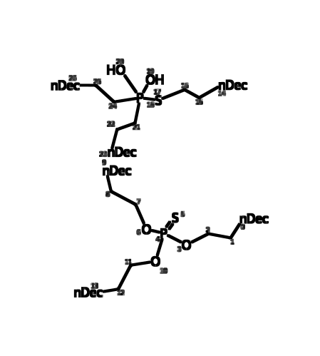 CCCCCCCCCCCCOP(=S)(OCCCCCCCCCCCC)OCCCCCCCCCCCC.CCCCCCCCCCCCSP(O)(O)(CCCCCCCCCCCC)CCCCCCCCCCCC